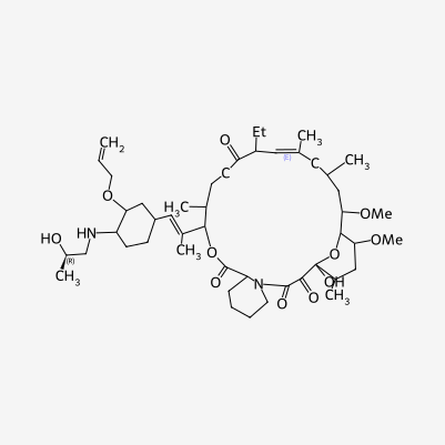 C=CCOC1CC(C=C(C)C2OC(=O)C3CCCCN3C(=O)C(=O)C3(O)OC(C(OC)CC(C)C/C(C)=C/C(CC)C(=O)CCC2C)C(OC)CC3C)CCC1NC[C@@H](C)O